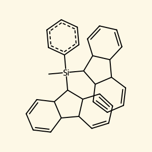 C[Si](c1ccccc1)(C1C2C=CC=CC2C2C=CC=CC21)C1C2C=CC=CC2C2C=CC=CC21